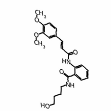 COc1ccc(C=CC(=O)Nc2ccccc2C(=O)NCCCCO)cc1OC